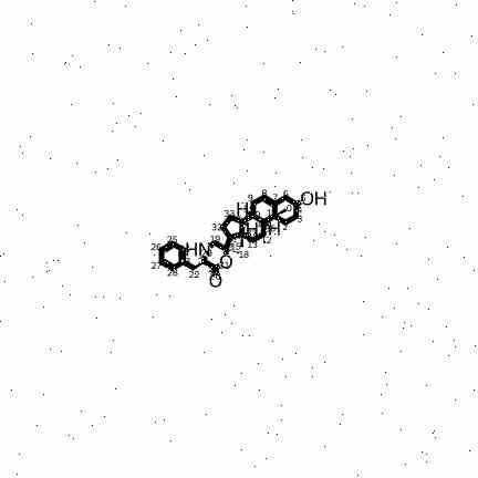 C[C@]12CCC(O)CC1=CC[C@@H]1[C@H]2CC[C@]2(C)C([C@]3(C)CN[C@H](Cc4ccccc4)C(=O)O3)CC[C@@H]12